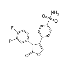 NS(=O)(=O)c1ccc(C2=COC(=O)C2c2ccc(F)c(F)c2)cc1